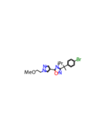 COCCn1cc(-c2nc(C(C)(c3ccc(Br)cc3)C(C)C)no2)cn1